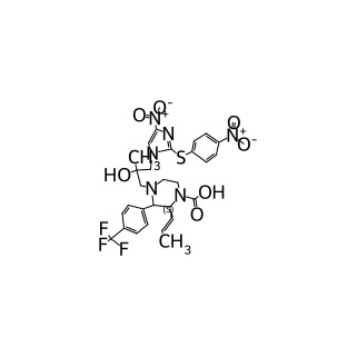 CC=C[C@H]1C(c2ccc(C(F)(F)F)cc2)N(CC(C)(O)Cn2cc([N+](=O)[O-])nc2Sc2ccc([N+](=O)[O-])cc2)CCN1C(=O)O